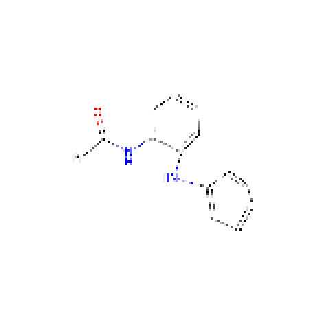 CC(C)C(=O)Nc1ccccc1Nc1ccccc1